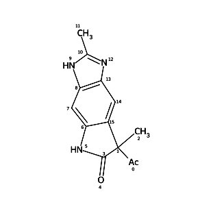 CC(=O)C1(C)C(=O)Nc2cc3[nH]c(C)nc3cc21